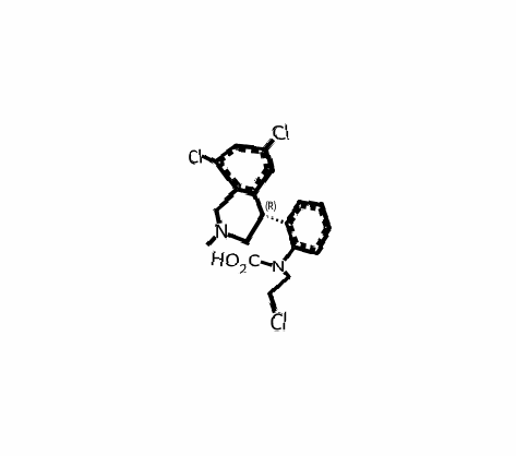 CN1Cc2c(Cl)cc(Cl)cc2[C@H](c2ccccc2N(CCCl)C(=O)O)C1